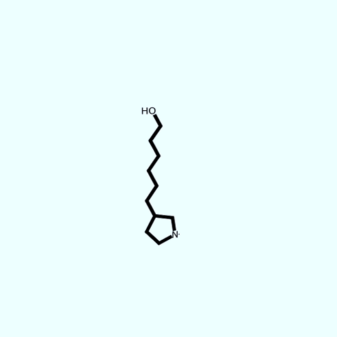 OCCCCCCC1CC[N]C1